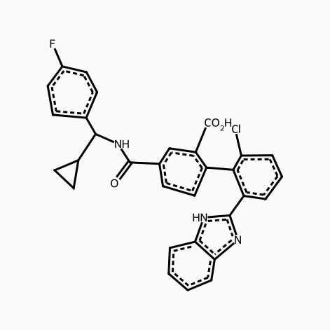 O=C(NC(c1ccc(F)cc1)C1CC1)c1ccc(-c2c(Cl)cccc2-c2nc3ccccc3[nH]2)c(C(=O)O)c1